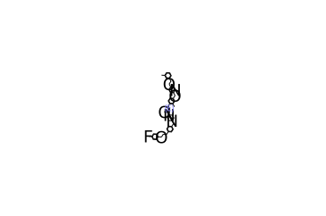 Cc1cccc(COc2ccc(Oc3ccc(/C=C/C(=O)N4CCN(Cc5ccc(CCOc6ccc(F)cc6)cc5)CC4)c(C)c3)nc2)c1